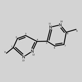 Cc1ccc(-c2ccc(C)nn2)nn1